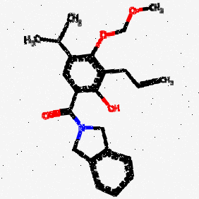 C=CCc1c(O)c(C(=O)N2Cc3ccccc3C2)cc(C(C)C)c1OCOC